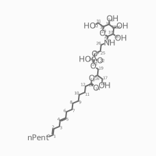 CCCCC/C=C/C/C=C/CCCCCCCC(=O)OC(CO)COP(=O)(O)OCCNC1OC(CO)C(O)C(O)C1O